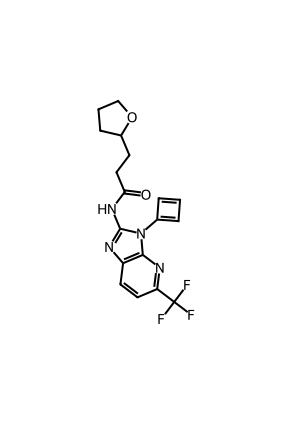 O=C(CCC1CCCO1)Nc1nc2ccc(C(F)(F)F)nc2n1C1=CC=C1